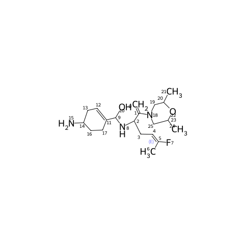 C=C(C(C/C=C(\C)F)NC(O)C1=CCC(N)CC1)N1CC(C)OC(C)C1